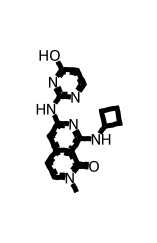 Cn1ccc2cc(Nc3nccc(O)n3)nc(NC3CCC3)c2c1=O